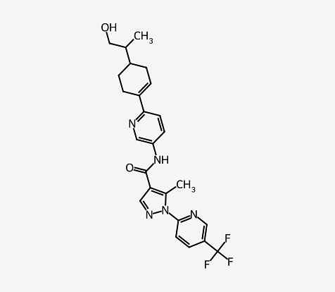 Cc1c(C(=O)Nc2ccc(C3=CCC(C(C)CO)CC3)nc2)cnn1-c1ccc(C(F)(F)F)cn1